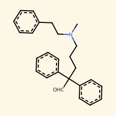 CN(CCCC(C=O)(c1ccccc1)c1ccccc1)CCc1ccccc1